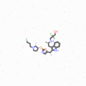 C[C@H](c1cnc(O[C@@H]2CCN(CCCF)[C@@H]2C)s1)c1[nH]c2ccccc2c1C[C@@H](C)NCC(F)(F)CO